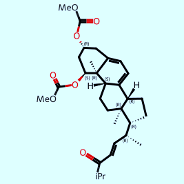 COC(=O)O[C@@H]1CC2=CC=C3[C@@H]4CC[C@H]([C@H](C)C=CC(=O)C(C)C)[C@@]4(C)CC[C@@H]3[C@@]2(C)[C@@H](OC(=O)OC)C1